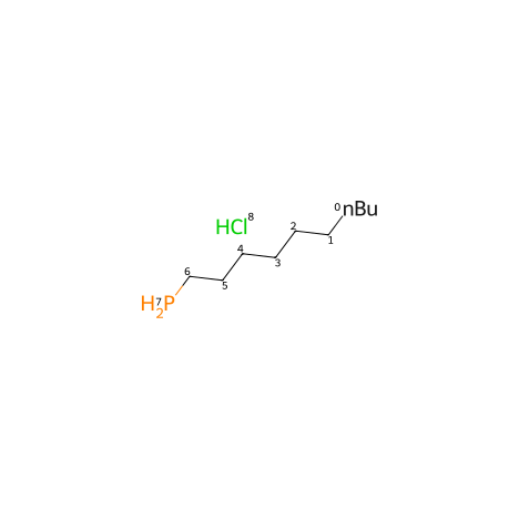 CCCCCCCCCCP.Cl